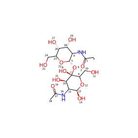 CC(=O)NC1[C@H](O[C@]2(O)C(CO)O[C@@H](O)C(NC(C)=O)[C@H]2O)OC(CO)[C@H](O)[C@@H]1O